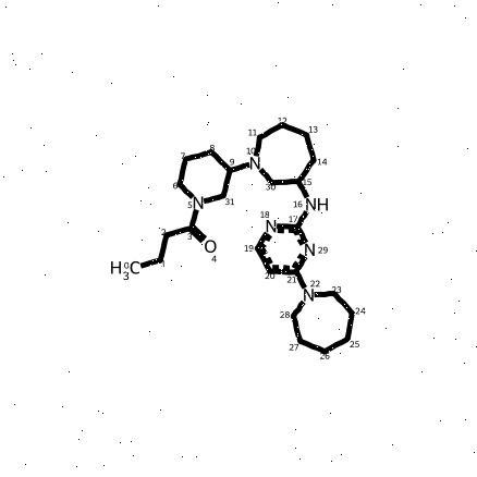 CCCC(=O)N1CCCC(N2CCCCC(Nc3nccc(N4CCCCCC4)n3)C2)C1